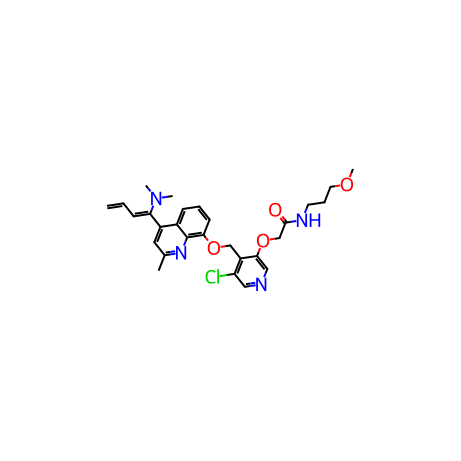 C=C/C=C(/c1cc(C)nc2c(OCc3c(Cl)cncc3OCC(=O)NCCCOC)cccc12)N(C)C